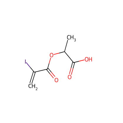 C=C(I)C(=O)OC(C)C(=O)O